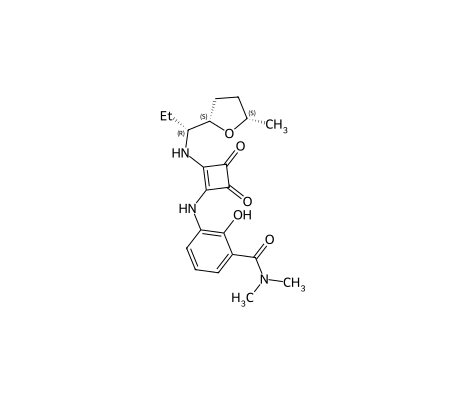 CC[C@@H](Nc1c(Nc2cccc(C(=O)N(C)C)c2O)c(=O)c1=O)[C@@H]1CC[C@H](C)O1